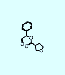 O=CC(OC(=O)C1CCOC1)c1ccccc1